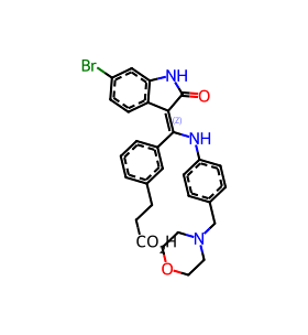 O=C(O)CCc1cccc(/C(Nc2ccc(CN3CCOCC3)cc2)=C2/C(=O)Nc3cc(Br)ccc32)c1